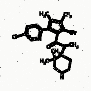 Cc1c(-c2ccc(Cl)cn2)c(C(=O)N(C)C2CCNCC2(C)C)n(C(C)C)c1C(F)(F)F